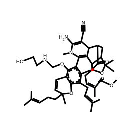 COC(=O)/C(C)=C\CC12OC(C)(C)C3CC(C1=O)C1C(C#N)=C(N)N(C)C4=C1C32Oc1c(CC=C(C)C)c2c(c(OCNCCO)c14)C=CC(C)(CCC=C(C)C)O2